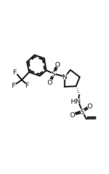 C=CS(=O)(=O)NC[C@H]1CCN(S(=O)(=O)c2cccc(C(F)(F)F)c2)C1